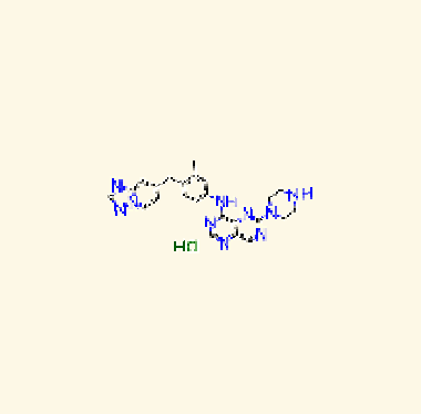 Cc1cc(Nc2ncnc3cnc(N4CCNCC4)nc23)ccc1Cc1ccn2ncnc2c1.Cl